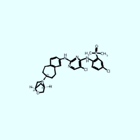 CP(C)(=O)c1cc(Cl)ccc1Nc1nc(Nc2ccc3c(c2)CC[C@@H](N2C[C@H]4C[C@@H]2CO4)CC3)ncc1Cl